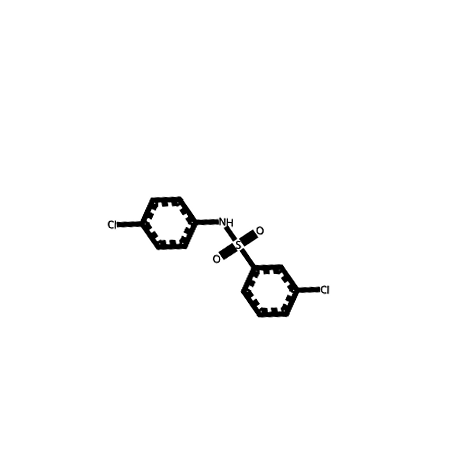 O=S(=O)(Nc1[c]cc(Cl)cc1)c1cccc(Cl)c1